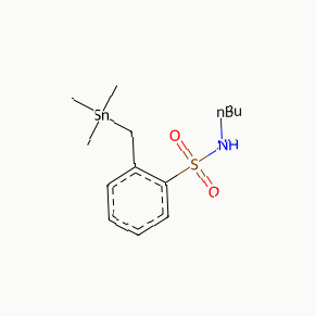 CCCCNS(=O)(=O)c1ccccc1[CH2][Sn]([CH3])([CH3])[CH3]